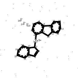 C1=C[CH]([Zr+3][c]2cccc3c2Cc2ccccc2-3)c2ccccc21.[I-].[I-].[I-]